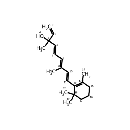 C=CC(C)(O)/C=C/C=C(C)/C=C/C1=C(C)CCCC1(C)C